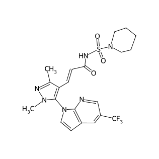 Cc1nn(C)c(-n2ccc3cc(C(F)(F)F)cnc32)c1C=CC(=O)NS(=O)(=O)N1CCCCC1